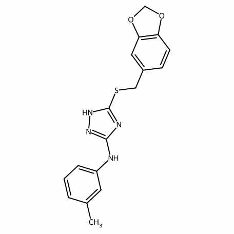 Cc1cccc(Nc2n[nH]c(SCc3ccc4c(c3)OCO4)n2)c1